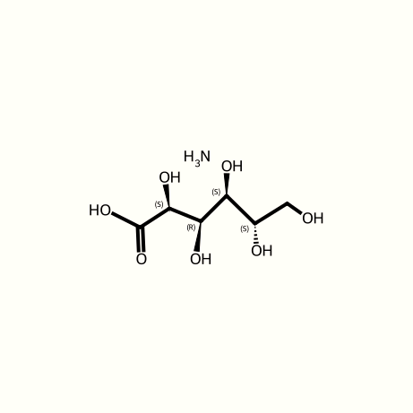 N.O=C(O)[C@@H](O)[C@H](O)[C@@H](O)[C@@H](O)CO